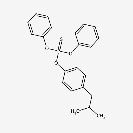 CC(C)Cc1ccc(OP(=S)(Oc2ccccc2)Oc2ccccc2)cc1